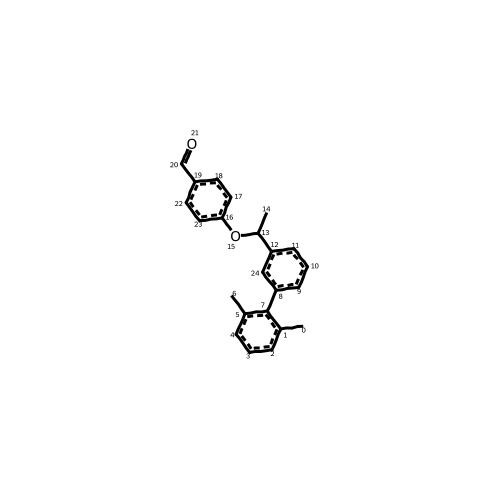 Cc1cccc(C)c1-c1cccc(C(C)Oc2ccc(C=O)cc2)c1